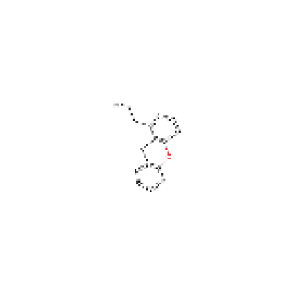 CC(C)CCc1cccc2c1Cc1ccccc1O2